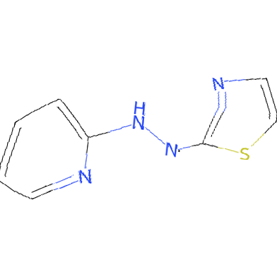 c1ccc(N[N]c2nccs2)nc1